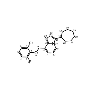 Fc1cccc(F)c1OCc1cccn2c(C3CCCCCC3)nnc12